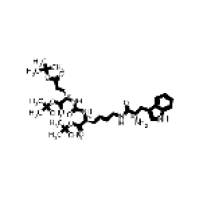 CC(C)(C)OC(=O)CC[C@H](NC(=O)N[C@@H](CCCCNC(=O)[C@@H](N)Cc1c[nH]c2ccccc12)C(=O)OC(C)(C)C)C(=O)OC(C)(C)C